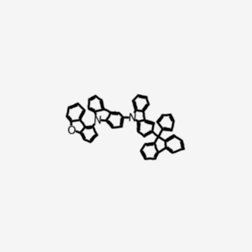 c1ccc(C2(c3ccc4c(c3)c3ccccc3n4-c3ccc4c(c3)c3ccccc3n4-c3cccc4oc5ccccc5c34)c3ccccc3-c3ccccc32)cc1